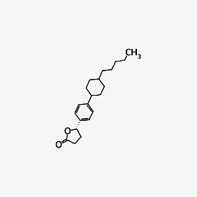 CCCCCC1CCC(c2ccc([C@@H]3CCC(=O)O3)cc2)CC1